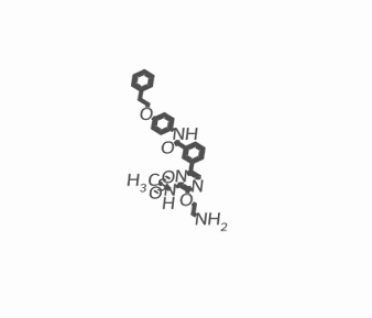 CS(=O)(=O)Nc1nc(-c2cccc(C(=O)Nc3ccc(OCCc4ccccc4)cc3)c2)cnc1OCCN